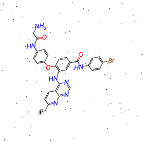 CC(C)c1ccc2c(Nc3cc(C(=O)Nc4ccc(Br)cc4)ccc3Oc3ccc(NC(=O)CN)cc3)ncnc2n1